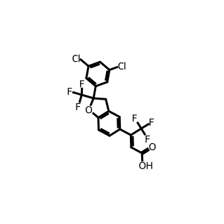 O=C(O)/C=C(/c1ccc2c(c1)CC(c1cc(Cl)cc(Cl)c1)(C(F)(F)F)O2)C(F)(F)F